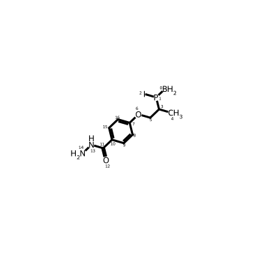 BP(I)C(C)COc1ccc(C(=O)NN)cc1